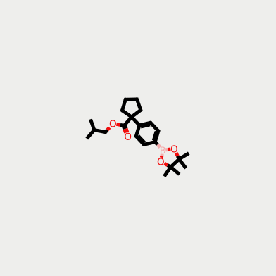 CC(C)COC(=O)C1(c2ccc(B3OC(C)(C)C(C)(C)O3)cc2)CCCC1